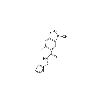 O=C(NCc1ccco1)c1cc2c(cc1F)COB2O